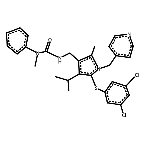 Cc1c(CNC(=O)N(C)c2ccccc2)c(C(C)C)c(Sc2cc(Cl)cc(Cl)c2)n1Cc1ccncc1